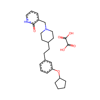 O=C(O)C(=O)O.O=c1[nH]cccc1CN1CCC(CCc2cccc(OC3CCCC3)c2)CC1